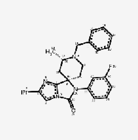 CC(C)c1cn2c(n1)[C@]1(CCN(Cc3ccccc3)[C@@H](C)C1)N(c1cccc(F)c1)C2=O